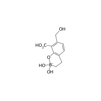 O=C(O)c1c(CO)ccc2c1O[B-](O)(O)CC2